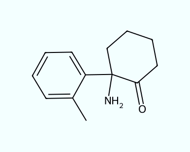 Cc1ccccc1C1(N)CCCCC1=O